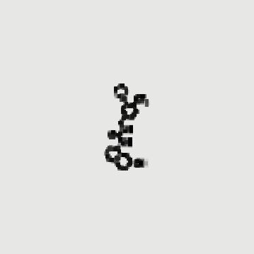 O=C(NCc1ccc(C(F)(F)F)c(N2CCCC2)c1)Nc1cccc2c1C[C@H](O)CC2